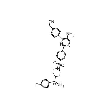 N#CCc1ccc(-c2nc(-c3ccc(S(=O)(=O)N4CCC([C@@H](N)c5ccc(F)cc5)CC4)cc3)ncc2N)cc1